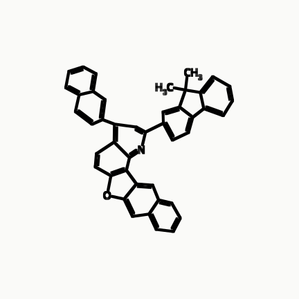 CC1(C)c2ccccc2-c2ccc(-c3cc(-c4ccc5ccccc5c4)c4ccc5oc6cc7ccccc7cc6c5c4n3)cc21